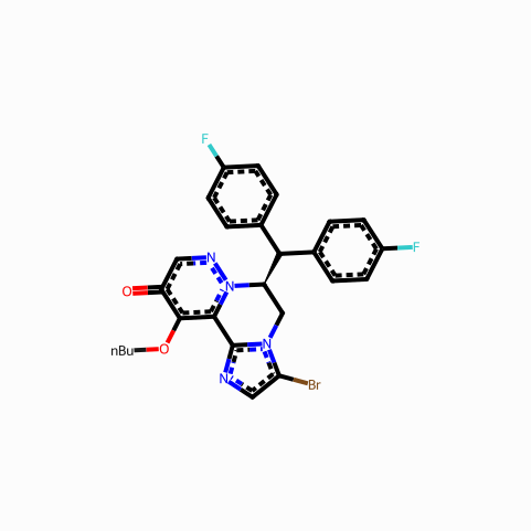 CCCCOc1c2n(ncc1=O)[C@@H](C(c1ccc(F)cc1)c1ccc(F)cc1)Cn1c(Br)cnc1-2